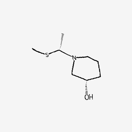 CS[C@H](C)N1CCC[C@H](O)C1